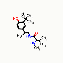 CNC(C(=O)NCC(C)c1ccc(O)c(C(C)(C)C)c1)C(C)C